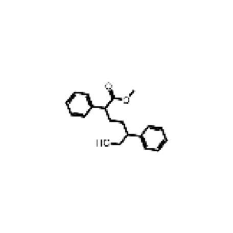 COC(=O)C(CCC(CO)c1ccccc1)c1ccccc1